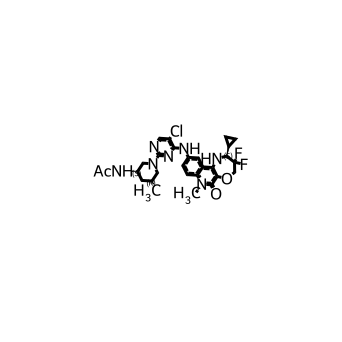 CC(=O)N[C@H]1C[C@@H](C)CN(c2ncc(Cl)c(Nc3ccc4c(c3)c3c(c(=O)n4C)OCC(F)(F)[C@H](C4CC4)N3)n2)C1